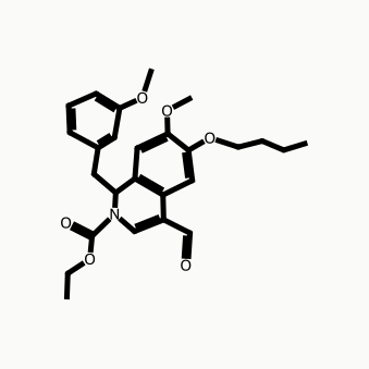 CCCCOc1cc2c(cc1OC)C(Cc1cccc(OC)c1)N(C(=O)OCC)C=C2C=O